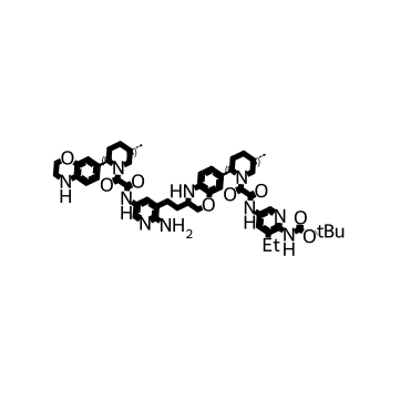 CCc1cc(NC(=O)C(=O)N2C[C@@H](C)CC[C@@H]2c2ccc3c(c2)OCC(CCc2cc(NC(=O)C(=O)N4C[C@@H](C)CC[C@@H]4c4ccc5c(c4)OCCN5)cnc2N)N3)cnc1NC(=O)OC(C)(C)C